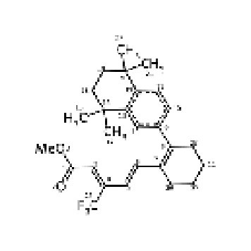 COC(=O)C=C(C=CC1=C(c2ccc3c(c2)C(C)(C)CCC3(C)C)CCCC1)C(F)(F)F